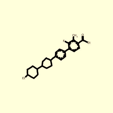 CCC(=O)c1ccc(-c2ccc(C3CCC(C4CCC(CC)CC4)CC3)cc2)c(F)c1C